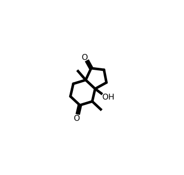 CC1C(=O)CCC2(C)C(=O)CCC12O